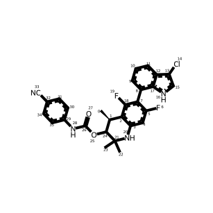 C[C@H]1c2c(cc(F)c(-c3cccc4c(Cl)c[nH]c34)c2F)NC(C)(C)C1OC(=O)Nc1ccc(C#N)cc1